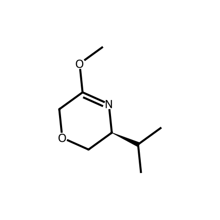 COC1=N[C@@H](C(C)C)COC1